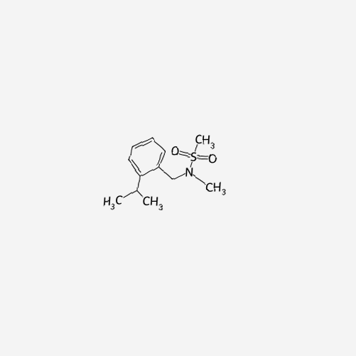 CC(C)c1ccccc1CN(C)S(C)(=O)=O